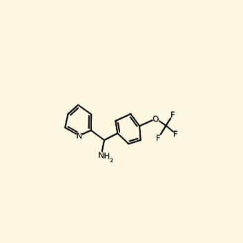 NC(c1ccc(OC(F)(F)F)cc1)c1ccccn1